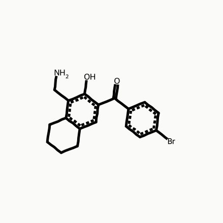 NCc1c(O)c(C(=O)c2ccc(Br)cc2)cc2c1CCCC2